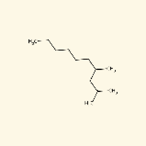 CCCCCCC(C)C[C](C)C